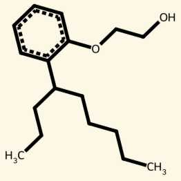 CCCCCC(CCC)c1ccccc1OCCO